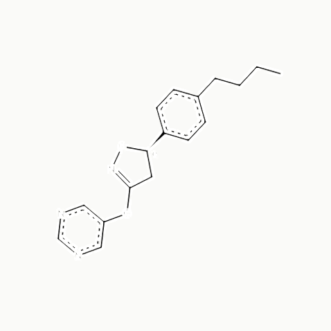 CCCCc1ccc([C@H]2CC(Oc3cncnc3)=NO2)cc1